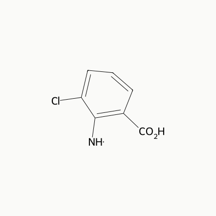 [NH]c1c(Cl)cccc1C(=O)O